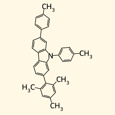 Cc1ccc(-c2ccc3c4ccc(-c5c(C)cc(C)cc5C)cc4n(-c4ccc(C)cc4)c3c2)cc1